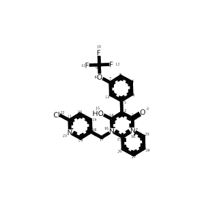 O=c1c(-c2cccc(OC(F)(F)F)c2)c(O)n(Cc2ccc(Cl)nc2)c2cccc[n+]12